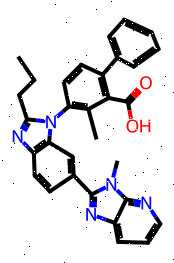 CCCc1nc2ccc(-c3nc4cccnc4n3C)cc2n1-c1ccc(-c2ccccc2)c(C(=O)O)c1C